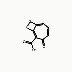 O=C(O)c1c(=O)cccc2ssc12